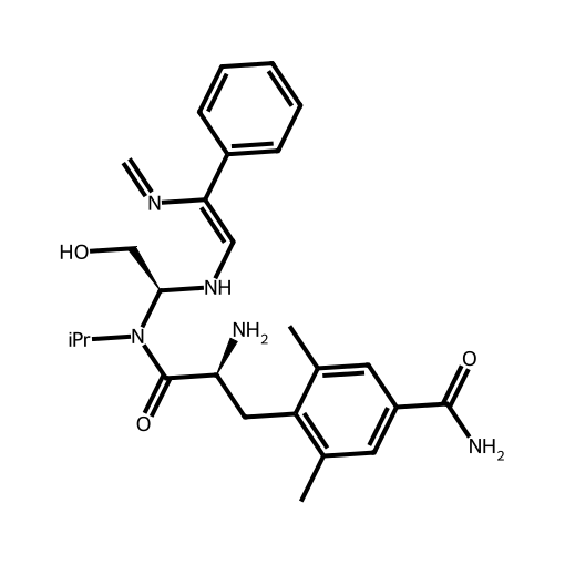 C=N/C(=C\N[C@H](CO)N(C(=O)[C@@H](N)Cc1c(C)cc(C(N)=O)cc1C)C(C)C)c1ccccc1